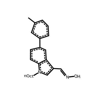 CCCCCCCCn1cc(C=NO)c2cc(-c3cccc(C)c3)ccc21